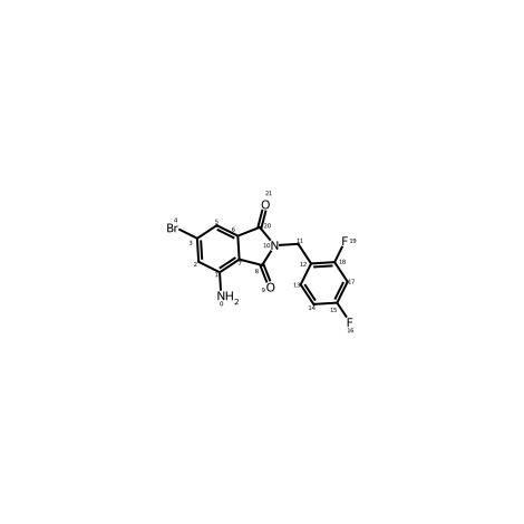 Nc1cc(Br)cc2c1C(=O)N(Cc1ccc(F)cc1F)C2=O